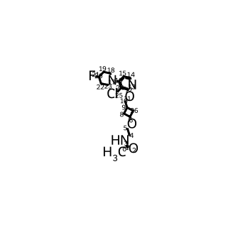 CC(=O)NCCOC1CC(COc2nccc(N3CCC(F)CC3)c2Cl)C1